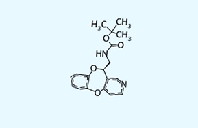 CC(C)(C)OC(=O)NC[C@@H]1Oc2ccccc2Oc2ccncc21